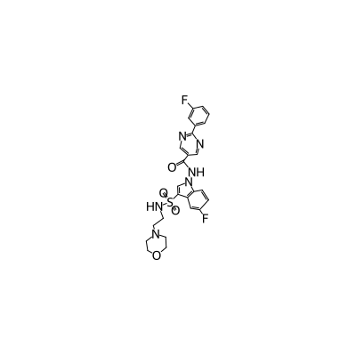 O=C(Nn1cc(S(=O)(=O)NCCN2CCOCC2)c2cc(F)ccc21)c1cnc(-c2cccc(F)c2)nc1